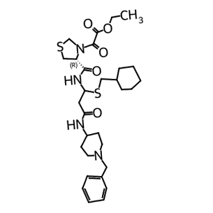 CCOC(=O)C(=O)N1CSC[C@H]1C(=O)NC(CC(=O)NC1CCN(Cc2ccccc2)CC1)SCC1CCCCC1